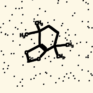 CC1(C)CCC(C)(C)C2=C1OCO2